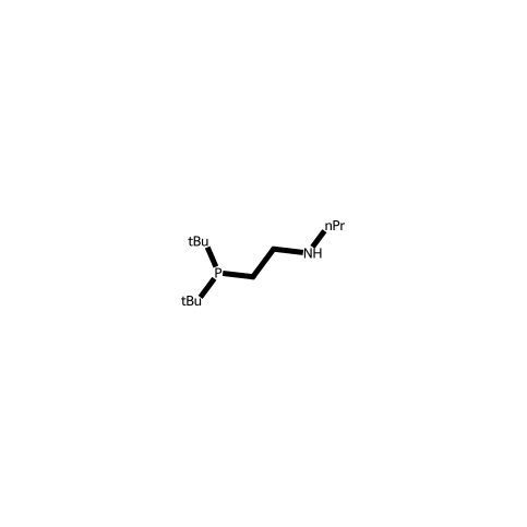 CCCNCCP(C(C)(C)C)C(C)(C)C